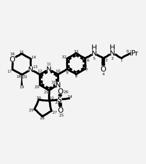 CC(C)CNC(=O)Nc1ccc(-c2nc(N3CCOC[C@@H]3C)cc(C3(S(C)(=O)=O)CCCC3)n2)cc1